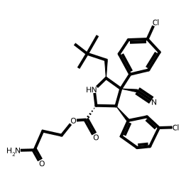 CC(C)(C)C[C@@H]1N[C@@H](C(=O)OCCC(N)=O)[C@H](c2cccc(Cl)c2)[C@@]1(C#N)c1ccc(Cl)cc1